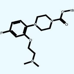 CN(C)CCOc1cc(F)ccc1N1CCN(C(=O)OC(C)(C)C)CC1